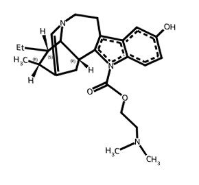 CC[C@@H]1C2[C@H]3CC(=CN2CCc2c3n(C(=O)OCCN(C)C)c3ccc(O)cc23)[C@@H]1C